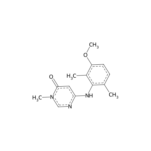 COc1ccc(C)c(Nc2cc(=O)n(C)cn2)c1C